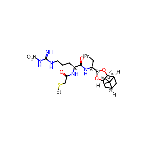 CCSCC(=O)N[C@@H](CCCNC(=N)N[N+](=O)[O-])C(=O)N[C@@H](CC(C)C)B1O[C@@H]2C[C@@H]3C[C@@H](C3(C)C)[C@]2(C)O1